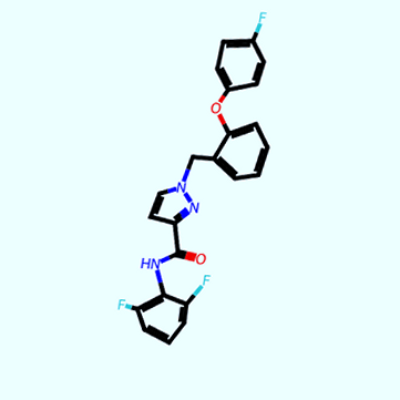 O=C(Nc1c(F)cccc1F)c1ccn(Cc2ccccc2Oc2ccc(F)cc2)n1